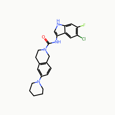 O=C(Nc1c[nH]c2cc(F)c(Cl)cc12)N1CCc2cc(N3CCCCC3)ccc2C1